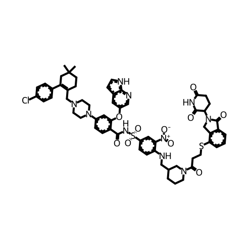 CC1(C)CCC(CN2CCN(c3ccc(C(=O)NS(=O)(=O)c4ccc(NCC5CCCN(C(=O)CCSc6cccc7c6CN(C6CCC(=O)NC6=O)C7=O)C5)c([N+](=O)[O-])c4)c(Oc4cnc5[nH]ccc5c4)c3)CC2)=C(c2ccc(Cl)cc2)C1